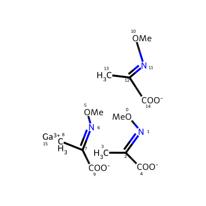 CON=C(C)C(=O)[O-].CON=C(C)C(=O)[O-].CON=C(C)C(=O)[O-].[Ga+3]